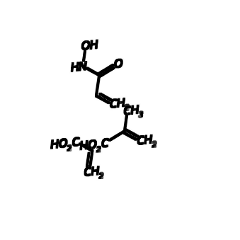 C=C(C)C(=O)O.C=CC(=O)NO.C=CC(=O)O